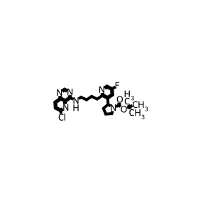 CC(C)(C)OC(=O)N1CCCC1c1cc(F)cnc1CCCCNc1ncnc2ccc(Cl)nc12